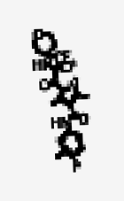 Cc1cc(NC(=O)c2c(C)c(C(=O)C(=O)NC3(C(F)(F)F)CCOCC3)n(C)c2C)ccc1F